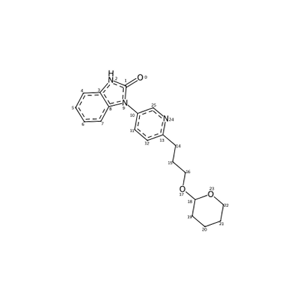 O=c1[nH]c2ccccc2n1-c1ccc(CCCOC2CCCCO2)nc1